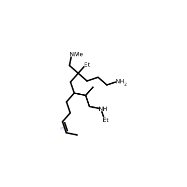 C/C=C\CCC(CC(CC)(CCCN)CNC)C(C)CNCC